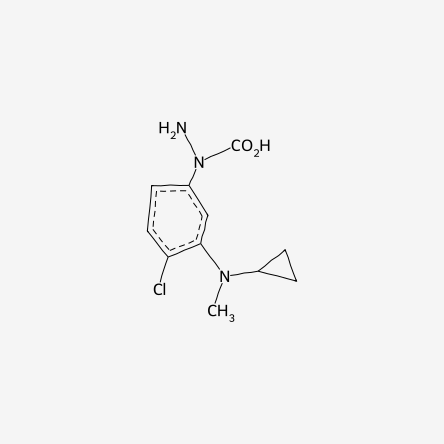 CN(c1cc(N(N)C(=O)O)ccc1Cl)C1CC1